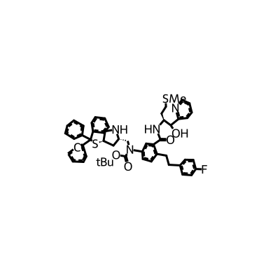 CSCC[C@H](NC(=O)c1cc(N(C[C@@H]2C[C@H](SC(c3ccccc3)(c3ccccc3)c3ccccc3)CN2)C(=O)OC(C)(C)C)ccc1CCc1ccc(F)cc1)C(O)c1ccccn1